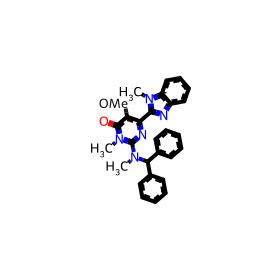 COc1c(-c2nc3ccccc3n2C)nc(N(C)C(c2ccccc2)c2ccccc2)n(C)c1=O